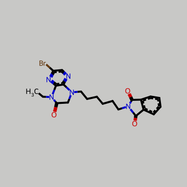 CCN1C(=O)CN(CCCCCCN2C(=O)c3ccccc3C2=O)c2ncc(Br)nc21